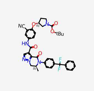 C[C@H]1Cn2ncc(C(=O)Nc3ccc(O[C@H]4CCN(C(=O)OC(C)(C)C)C4)c(C#N)c3)c2C(=O)N1c1ccc(C(F)(F)c2ccccc2)cc1